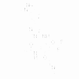 C=CC(=O)Nc1cc(Nc2cc(-c3ccc4cnn(C)c4c3)ncn2)c(OC(F)F)cc1OCCN(C)C